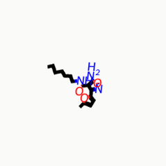 CCCCCCCNC(=O)c1c(-c2ccc(C)o2)noc1N